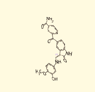 COc1ccc(N/C=C2\C(=O)Nc3ccc(C(=O)c4cccc(C(N)=O)c4)cc32)cc1O